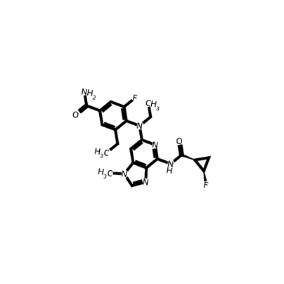 CCc1cc(C(N)=O)cc(F)c1N(CC)c1cc2c(ncn2C)c(NC(=O)[C@H]2C[C@H]2F)n1